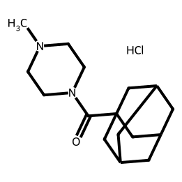 CN1CCN(C(=O)C23CC4CC(CC(C4)C2)C3)CC1.Cl